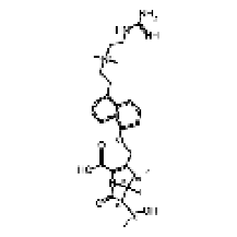 C[C@@H](O)[C@H]1C(=O)N2C(C(=O)O)=C(COc3cccc4c(CC[N+](C)(C)CCNC(=N)N)cccc34)[C@H](C)[C@H]12